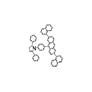 C1=C(c2ccccc2)N(c2ccc(-c3c4ccc(-c5cccc6ccccc56)cc4cc4ccc(-c5cccc6ccccc56)cc34)cc2)C(c2ccccc2)C1